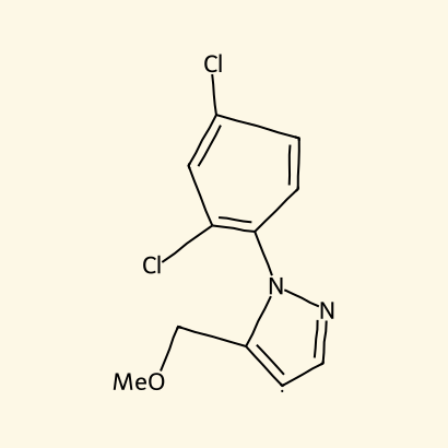 COCc1[c]cnn1-c1ccc(Cl)cc1Cl